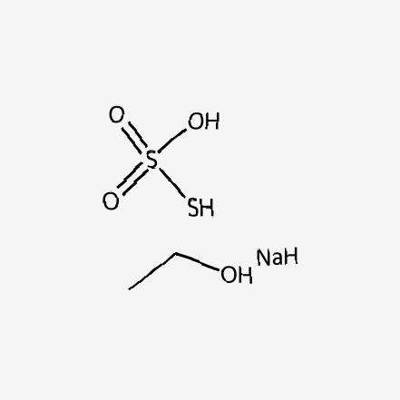 CCO.O=S(=O)(O)S.[NaH]